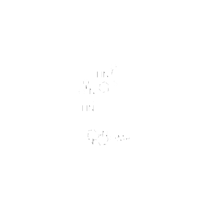 COc1ccc2nccc(CCCNC[C@H]3COC(=O)N3c3ccc4c(c3)NC(=O)CS4)c2n1